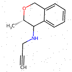 C#CCNC1c2ccccc2CO[C@H]1C